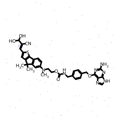 CN(CCOC(=O)NCc1ccc(COc2nc(N)nc3[nH]cnc23)cc1)c1ccc2c(c1)C(C)(C)c1cc(/C=C(\C#N)C(O)O)sc1-2